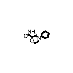 NC(=O)C1CN(c2ccccc2)CCO1